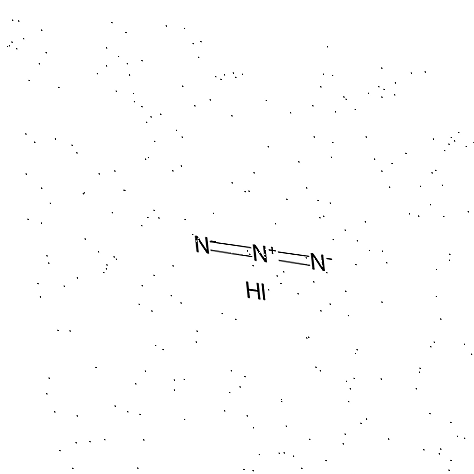 I.[N-]=[N+]=[N-]